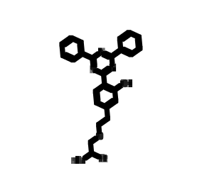 CCCCC(CC)COCCc1ccc(-c2nc(-c3ccccc3)nc(-c3ccccc3)n2)c(O)c1